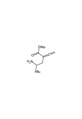 C=C=C(CC(N)CCCC)C(=O)OC